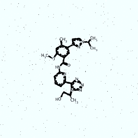 COc1cc(C)c(-c2ccn(C(C)C)n2)cc1C(=O)Nc1cccc(-c2nnnn2[C@H](C)CO)n1